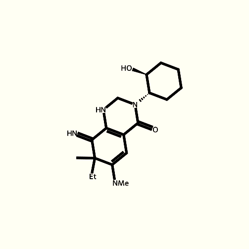 CCC1(C)C(=N)C2=C(C=C1NC)C(=O)N([C@H]1CCCC[C@@H]1O)CN2